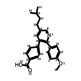 COc1ccc(-c2ncc(CCC(C)C)cc2-c2ccc(C(=O)O)cc2)cc1